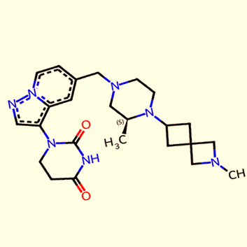 C[C@H]1CN(Cc2ccn3ncc(N4CCC(=O)NC4=O)c3c2)CCN1C1CC2(C1)CN(C)C2